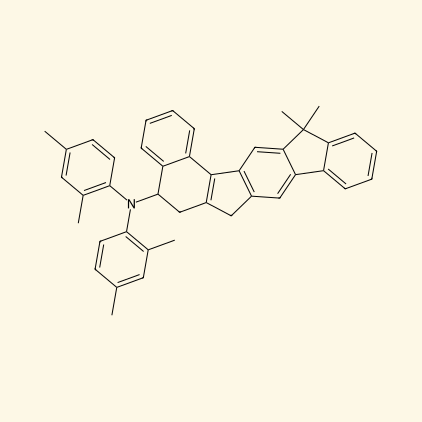 Cc1ccc(N(c2ccc(C)cc2C)C2CC3=C(c4cc5c(cc4C3)-c3ccccc3C5(C)C)c3ccccc32)c(C)c1